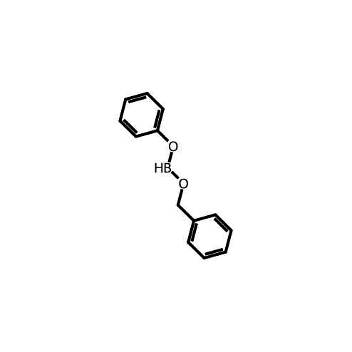 B(OCc1ccccc1)Oc1ccccc1